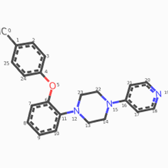 N#Cc1ccc(Oc2ccccc2N2CCN(c3ccncc3)CC2)cc1